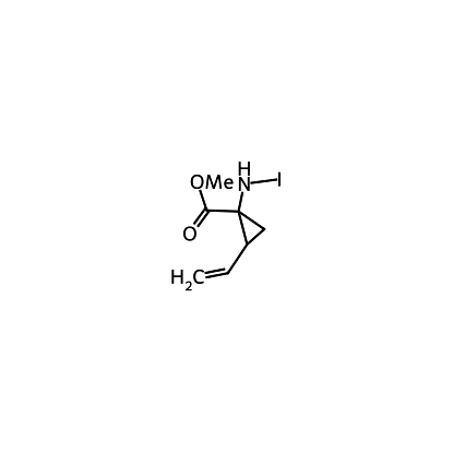 C=CC1CC1(NI)C(=O)OC